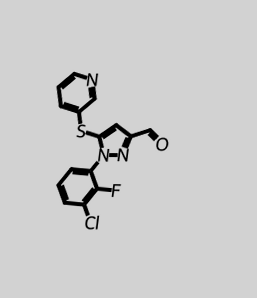 O=Cc1cc(Sc2cccnc2)n(-c2cccc(Cl)c2F)n1